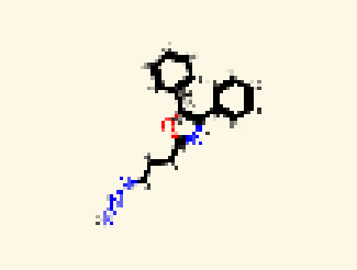 [N-]=[N+]=NCCCc1nc(-c2ccccc2)c(-c2ccccc2)o1